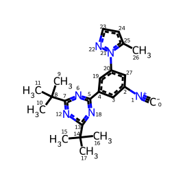 [C-]#[N+]c1cc(-c2nc(C(C)(C)C)nc(C(C)(C)C)n2)cc(-n2nccc2C)c1